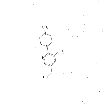 Cc1cc(CO)cnc1N1CCN(C)CC1